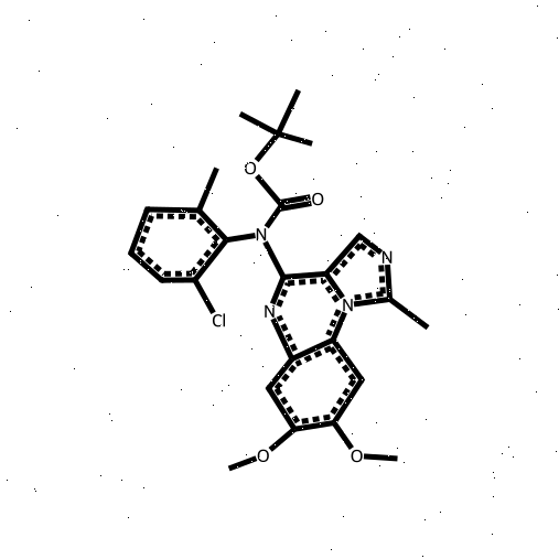 COc1cc2nc(N(C(=O)OC(C)(C)C)c3c(C)cccc3Cl)c3cnc(C)n3c2cc1OC